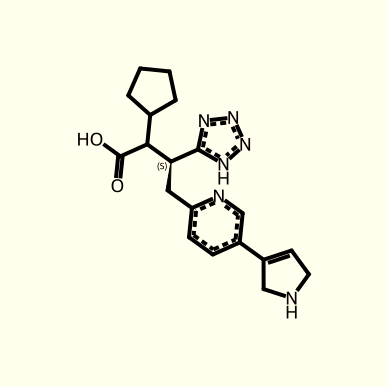 O=C(O)C(C1CCCC1)[C@H](Cc1ccc(C2=CCNC2)cn1)c1nnn[nH]1